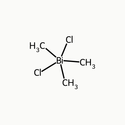 [CH3][Bi]([CH3])([CH3])([Cl])[Cl]